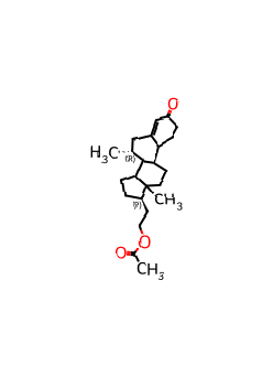 CC(=O)OCC[C@H]1CCC2C3C(CCC21C)C1CCC(=O)C=C1C[C@H]3C